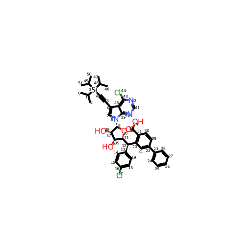 CC(C)[Si](C#Cc1cn([C@@H]2O[C@@H]([C@H](c3ccc(Cl)cc3)c3cc(-c4ccccc4)ccc3C(=O)O)[C@@H](O)[C@H]2O)c2ncnc(Cl)c12)(C(C)C)C(C)C